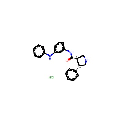 Cl.O=C(Nc1cccc(Nc2ccccc2)c1)[C@H]1CNC[C@@H]1c1ccccc1